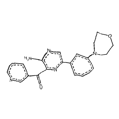 Nc1ncc(-c2cccc(N3CCOCC3)c2)nc1C(=O)c1cccnc1